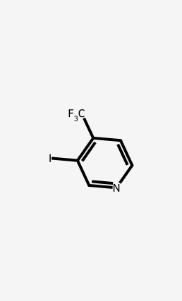 FC(F)(F)c1ccncc1I